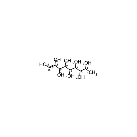 CC(O)C(O)C(O)C(O)C(O)C(O)/C(O)=C/O